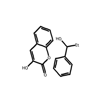 CCC(O)c1ccccc1.O=c1oc2ccccc2cc1O